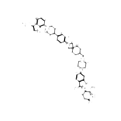 N#Cc1c[nH]c2c(N3CCC(c4ccc(N5CC6(CCC(CN7CCN(c8ccc9c(c8)CN(C8CCC(=O)NC8=O)C9=O)CC7)CC6)C5)cc4)CC3)ccc(F)c12